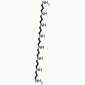 NCCCNCCCNCCCNCCCNCCCNCCCNCCCN